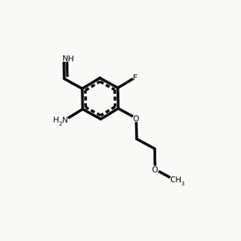 COCCOc1cc(N)c(C=N)cc1F